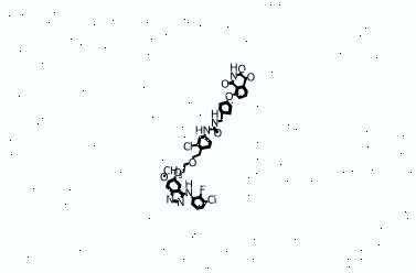 COc1cc2ncnc(Nc3cccc(Cl)c3F)c2cc1OCCOCCc1ccc(NC(=O)NCc2ccc(Oc3cccc4c3C(=O)NC(=O)C4=O)cc2)cc1Cl